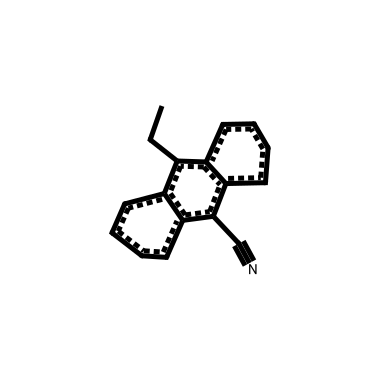 CCc1c2ccccc2c(C#N)c2ccccc12